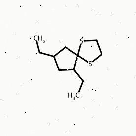 CCC1CC(CC)C2(C1)SCCS2